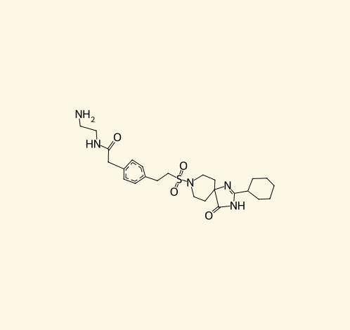 NCCNC(=O)Cc1ccc(CCS(=O)(=O)N2CCC3(CC2)N=C(C2CCCCC2)NC3=O)cc1